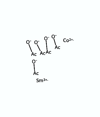 CC(=O)[O-].CC(=O)[O-].CC(=O)[O-].CC(=O)[O-].CC(=O)[O-].[Co+2].[Sm+3]